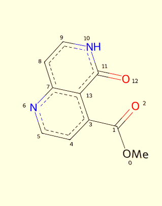 COC(=O)c1ccnc2cc[nH]c(=O)c12